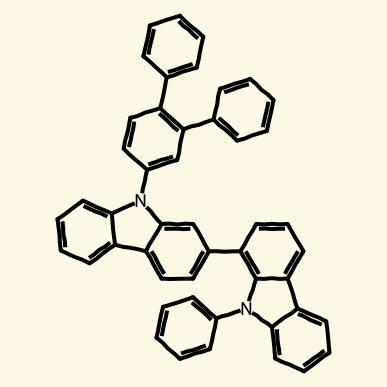 c1ccc(-c2ccc(-n3c4ccccc4c4ccc(-c5cccc6c7ccccc7n(-c7ccccc7)c56)cc43)cc2-c2ccccc2)cc1